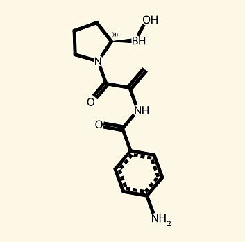 C=C(NC(=O)c1ccc(N)cc1)C(=O)N1CCC[C@H]1BO